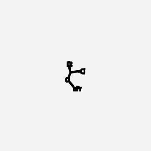 CCCOC(Cl)CC